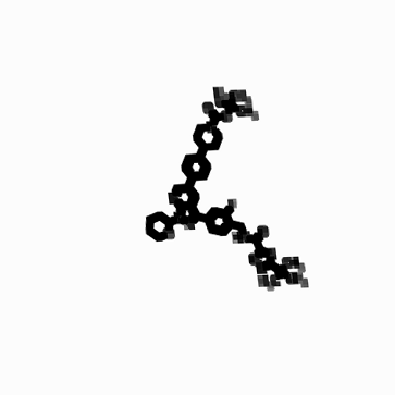 CC(C)(C)OC(=O)N1CCC(c2ccc(-c3cnc4c(c3)c(-c3ccc(CNC(=O)c5nc(C(C)(C)C)no5)c(F)c3)nn4C3CCCCO3)cc2)CC1